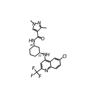 Cc1nn(C)cc1C(=O)N[C@@H]1CCC[C@H](Nc2cc(C(F)(F)F)nc3ccc(Cl)cc23)C1